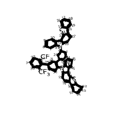 N#Cc1ccc(-n2c3ccccc3c3c4sc5ccccc5c4ccc32)cc1-c1cc(-c2c(C(F)(F)F)cccc2C(F)(F)F)ccc1-n1c2ccccc2c2c3sc4ccccc4c3ccc21